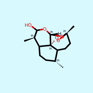 C[C@H]1C(O)O[C@@H]2O[C@@]3(C)CCC4[C@H](C)CCC1[C@]42OO3